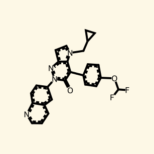 O=c1c(-c2ccc(OC(F)F)cc2)c2c(ccn2CC2CC2)nn1-c1ccc2ncccc2c1